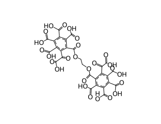 O=C(O)C(=O)c1c(C(=O)O)c(C(=O)O)c(C(=O)O)c(C(=O)O)c1C(=O)OCCOC(=O)c1c(C(=O)O)c(C(=O)O)c(C(=O)O)c(C(=O)O)c1C(=O)C(=O)O